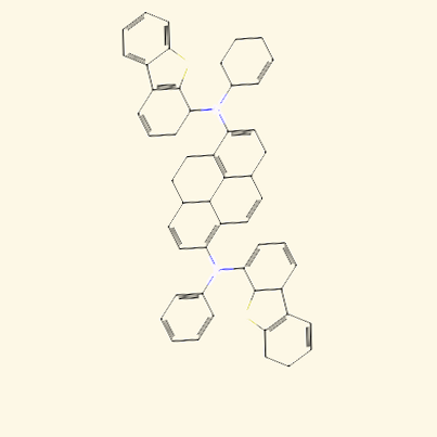 C1=CC2C3=C(CCC=C3)SC2C(N(C2=C3C=CC4CC=C(N(C5C=CCCC5)C5CC=Cc6c5sc5ccccc65)C5=C4C3C(C=C2)CC5)c2ccccc2)=C1